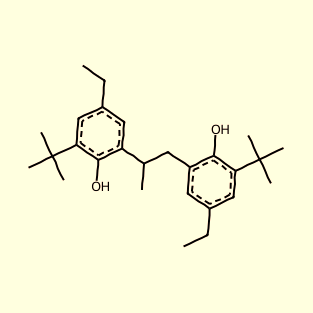 CCc1cc(CC(C)c2cc(CC)cc(C(C)(C)C)c2O)c(O)c(C(C)(C)C)c1